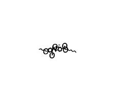 CCCCCCOC(=O)c1ccc(C=[N+]([O-])c2ccc(OCCCC)cc2C=O)cc1